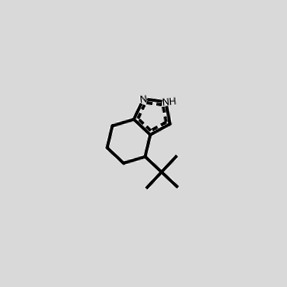 CC(C)(C)C1CCCc2n[nH]cc21